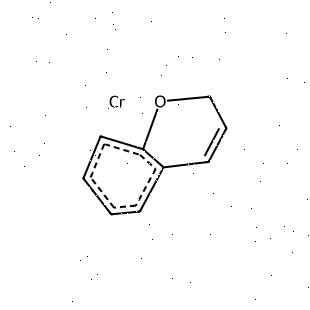 C1=Cc2ccccc2OC1.[Cr]